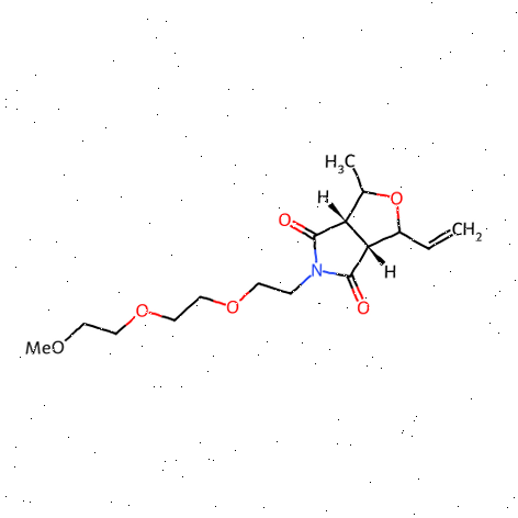 C=CC1OC(C)[C@H]2C(=O)N(CCOCCOCCOC)C(=O)[C@@H]12